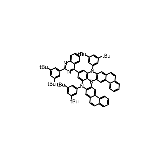 CC(C)(C)c1cc(-c2nc(-c3cc4c5c(c3)N(c3cc(C(C)(C)C)cc(C(C)(C)C)c3)c3cc6ccc7ccccc7c6cc3B5c3cc5c(ccc6ccccc65)cc3N4c3cc(C(C)(C)C)cc(C(C)(C)C)c3)c3ccccc3n2)cc(C(C)(C)C)c1